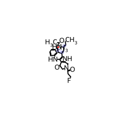 C\C=C/C(=C\C(=C\CC)NC(C)=O)c1[nH]c2c(c1Nc1ccccc1)C(=O)CN(C(=O)CCF)C2